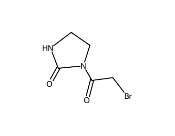 O=C(CBr)N1CCNC1=O